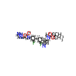 CC(C)(C)OC(=O)N1CC2[C@@H](C1)[C@]2(C#N)c1ccc(-c2ccc(N3C[C@H](Cn4ccnn4)OC3=O)cc2F)cc1F